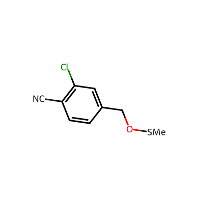 CSOCc1ccc(C#N)c(Cl)c1